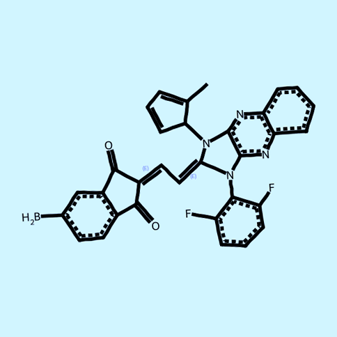 Bc1ccc2c(c1)C(=O)/C(=C/C=C1/N(c3c(F)cccc3F)c3nc4ccccc4nc3N1C1C=CC=C1C)C2=O